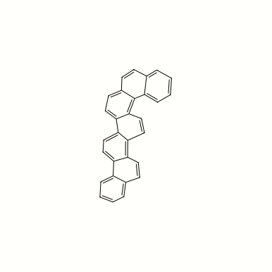 c1ccc2c(c1)ccc1c2ccc2c1ccc1c2ccc2ccc3ccccc3c21